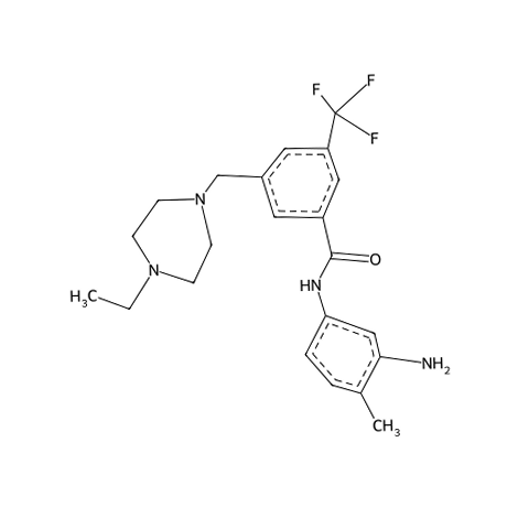 CCN1CCN(Cc2cc(C(=O)Nc3ccc(C)c(N)c3)cc(C(F)(F)F)c2)CC1